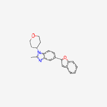 Cc1nc2cc(-c3cc4ccccc4o3)ccc2n1C1CCOCC1